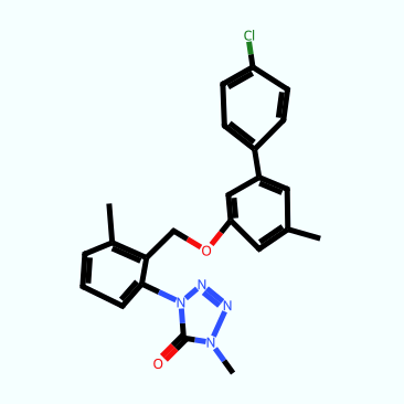 Cc1cc(OCc2c(C)cccc2-n2nnn(C)c2=O)cc(-c2ccc(Cl)cc2)c1